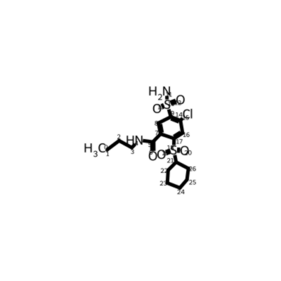 CCCCNC(=O)c1cc(S(N)(=O)=O)c(Cl)cc1S(=O)(=O)C1CCCCC1